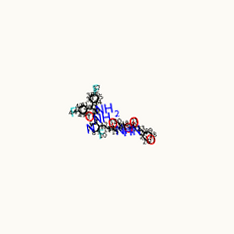 N[C@H](C(=O)Nc1cncc(F)c1CC[C@@H]1CN[C@H](COC(=O)NCC2CCOCC2)CO1)C(c1ccc(F)cc1)c1ccc(F)cc1